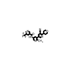 Cc1ncc(NC(=O)c2cnnc(C(F)(F)F)c2)cc1-c1cnc(C2CCOCC2)c(C#N)c1